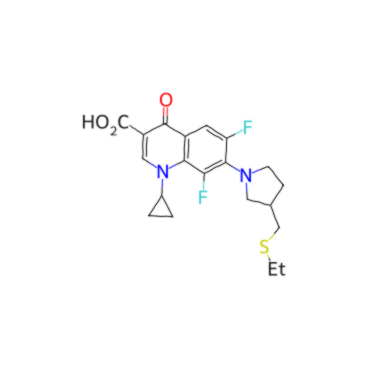 CCSCC1CCN(c2c(F)cc3c(=O)c(C(=O)O)cn(C4CC4)c3c2F)C1